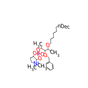 CCCCCCCCCCCCCCCCOC(C)C(OCc1ccccc1)C(C)OP1(=O)OC2CC[N+](C)(C)C2O1